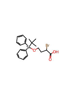 CC(C)(C)[Si](OCCC(Br)C(=O)O)(c1ccccc1)c1ccccc1